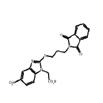 O=C(O)Cn1c(SCCCN2C(=O)c3ccccc3C2=O)nc2cc([N+](=O)[O-])ccc21